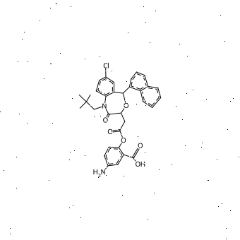 CC(C)(C)CN1C(=O)C(CC(=O)Oc2ccc(N)cc2C(=O)O)OC(c2cccc3ccccc23)c2cc(Cl)ccc21